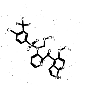 COCN(c1cccnc1C(=O)c1c(OC)cnc2[nH]ccc12)S(=O)(=O)c1ccc(Cl)c(C(F)(F)F)c1